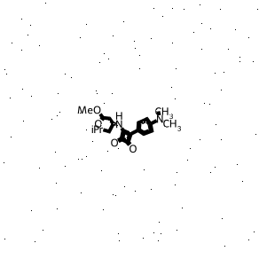 COC(=O)CC(CC(C)C)Nc1c(-c2ccc(N(C)C)cc2)c(=O)c1=O